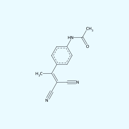 CC(=O)Nc1ccc(C(C)=C(C#N)C#N)cc1